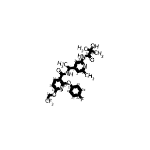 Cc1cc(C(C)NC(=O)c2ccc(OCC(F)(F)F)nc2Oc2ccc(F)cc2)cc(NC(=O)C(C)(C)O)n1